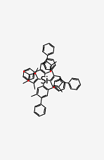 CC1=C(C)C(C)C([Si](c2cc(C)c(-c3ccccc3)cc2-c2ccccc2)(c2cc(C)c(-c3ccccc3)cc2-c2ccccc2)c2cc(C)c(-c3ccccc3)cc2-c2ccccc2)=C1C